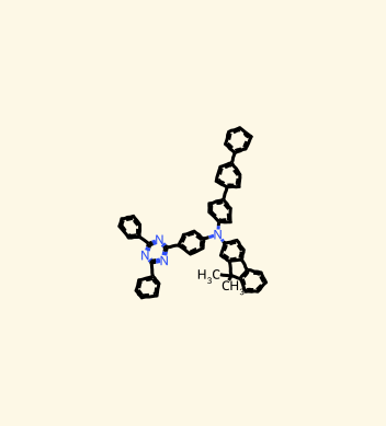 CC1(C)c2ccccc2-c2ccc(N(c3ccc(-c4ccc(-c5ccccc5)cc4)cc3)c3ccc(-c4nc(-c5ccccc5)nc(-c5ccccc5)n4)cc3)cc21